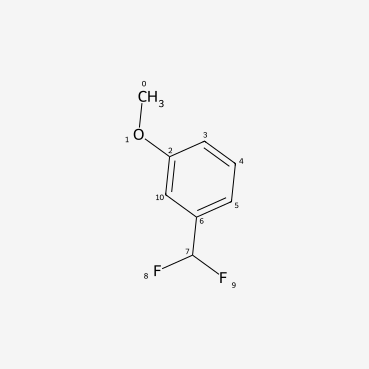 COc1cccc(C(F)F)c1